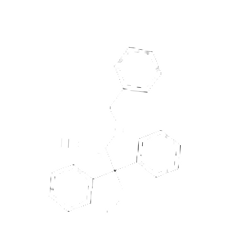 COC(c1ccccc1)(c1ccccc1)[C@H](C)OCc1ccccc1